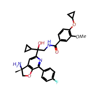 COc1cc(C(=O)NCC(O)(c2cc3c(c(-c4ccc(F)cc4)n2)OC[C@]3(C)N)C2CC2)ccc1OC1CC1